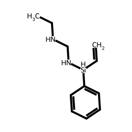 C=C[SiH](NCNCC)c1ccccc1